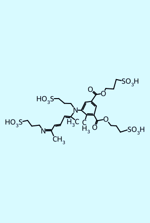 CC(/C=C/C=C(\C)N(CCCS(=O)(=O)O)c1cc(C(=O)OCCCS(=O)(=O)O)cc(C(=O)OCCCS(=O)(=O)O)c1C)=N/CCCS(=O)(=O)O